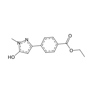 CCOC(=O)c1ccc(-c2cc(O)n(C)n2)cc1